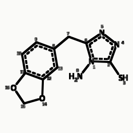 Nn1c(S)nnc1Cc1ccc2c(c1)OCO2